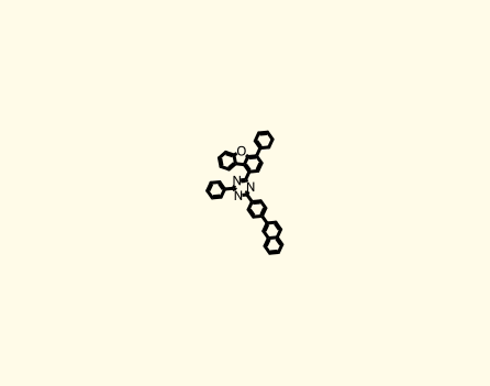 C1=CCCC(c2ccc(-c3nc(-c4ccccc4)nc(-c4ccc(-c5ccc6ccccc6c5)cc4)n3)c3c2oc2ccccc23)=C1